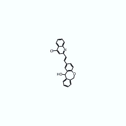 OC1c2ccccc2COc2ccc(C=Cc3cc(Cl)c4ccccc4n3)cc21